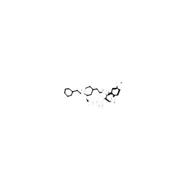 COc1ccc2ncc(O)c(NCCC3CCN(CCC4CCCCC4)[C@H](CO)C3)c2c1